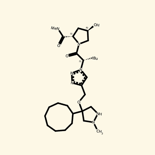 CNC(=O)[C@@H]1C[C@@H](O)CN1C(=O)[C@@H](n1cc(COC2(C3CCCCCCCC3)CNN(C)C2)nn1)C(C)(C)C